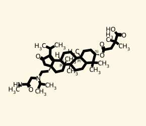 CNC(=O)CN(CC[C@@]12CC[C@]3(C)[C@H](CCC4[C@@]5(C)CC[C@H](OC(=O)CC(C)(C)C(=O)O)C(C)(C)C5CC[C@]43C)C1=C(C(C)C)C(=O)C2)C(C)C